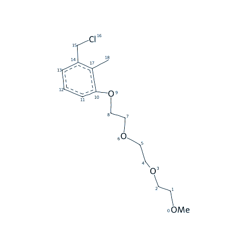 COCCOCCOCCOc1cccc(CCl)c1C